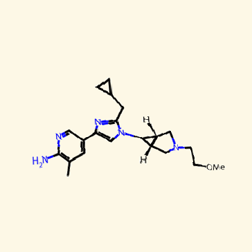 COCCN1C[C@@H]2[C@H](C1)[C@H]2n1cc(-c2cnc(N)c(C)c2)nc1CC1CC1